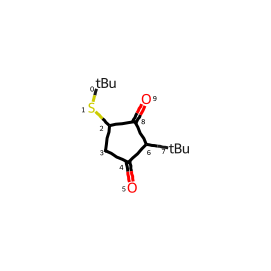 CC(C)(C)SC1CC(=O)C(C(C)(C)C)C1=O